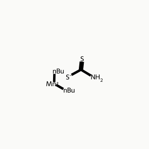 CCC[CH2][Mn+][CH2]CCC.NC(=S)[S-]